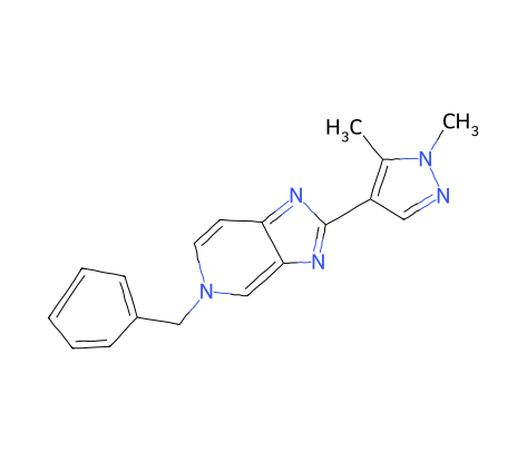 Cc1c(-c2nc3ccn(Cc4ccccc4)cc-3n2)cnn1C